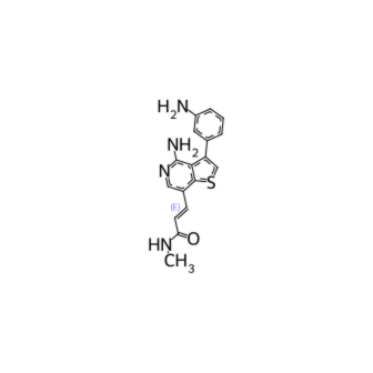 CNC(=O)/C=C/c1cnc(N)c2c(-c3cccc(N)c3)csc12